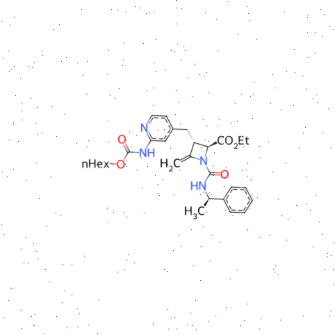 C=C1[C@H](Cc2ccnc(NC(=O)OCCCCCC)c2)[C@@H](C(=O)OCC)N1C(=O)N[C@H](C)c1ccccc1